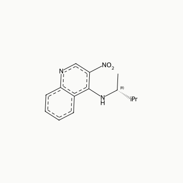 CC(C)[C@@H](C)Nc1c([N+](=O)[O-])cnc2ccccc12